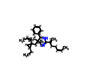 C=C(CC/C=C\C)C(=N)NC(c1ccccc1)C(C)(C)CC1(/C=C\C)C[C@@H]1CC